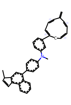 C=C1/C=C\C=C/C/C(c2cccc(N(C)c3ccc(-c4cc5c(c6ccccc46)C=CC5C)cc3)c2)=C\C=C/1